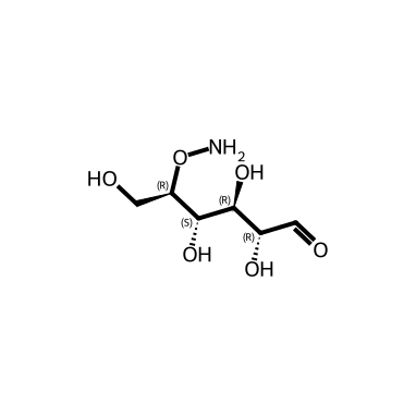 NO[C@H](CO)[C@@H](O)[C@@H](O)[C@@H](O)C=O